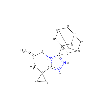 C=CCn1c(C2(C)CC2)nnc1C12CC3CC(CC(C3)C1)C2